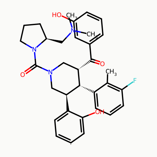 Cc1c(F)cccc1[C@H]1[C@@H](C(=O)c2cccc(O)c2)CN(C(=O)N2CCC[C@H]2CN(C)C)C[C@@H]1c1cc[c]cc1O